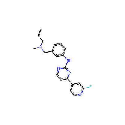 C=CCN(C)Cc1cccc(Nc2nccc(-c3ccnc(F)c3)n2)c1